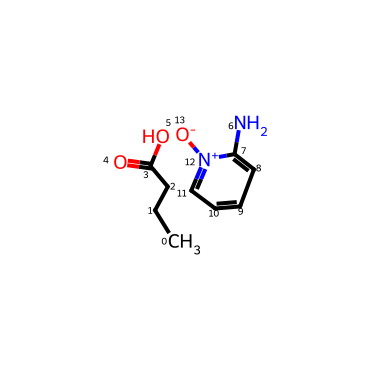 CCCC(=O)O.Nc1cccc[n+]1[O-]